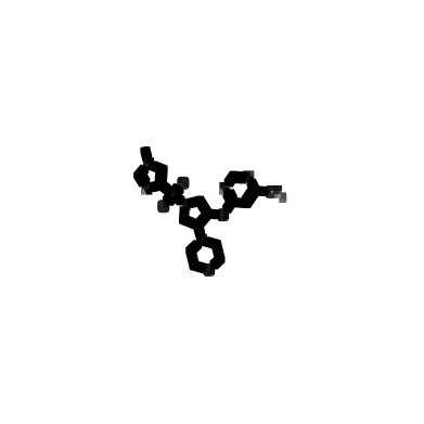 Cn1cnc(S(=O)(=O)N2CC(Oc3cc(C(F)(F)F)ncn3)C(N3CCOCC3)C2)c1